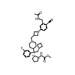 COC(=O)N[C@H]1CCC[C@@H]1C(CN1CCC1)(c1cccc(F)c1)C1CCN(CC2CN(c3ccc(C#N)c(CNC(C)=O)c3)C2)CC1